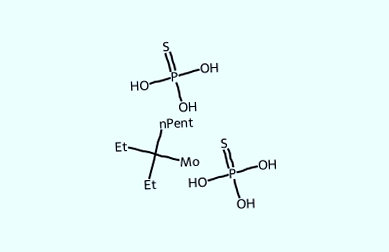 CCCCC[C]([Mo])(CC)CC.OP(O)(O)=S.OP(O)(O)=S